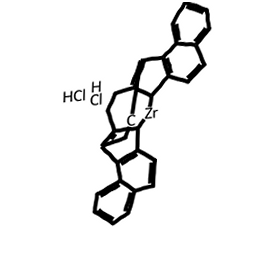 Cl.Cl.c1ccc2c3c(ccc2c1)[CH]1[Zr][CH]2C4=C(CCC3=C1CC4)c1c2ccc2ccccc12